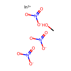 CO.O=[N+]([O-])[O-].O=[N+]([O-])[O-].O=[N+]([O-])[O-].[In+3]